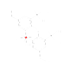 CCc1cc(C(C)(C)C)c(Oc2c(C(C)(C)C)cc(CC)cc2C(C)(C)C)c(C(C)(C)C)c1